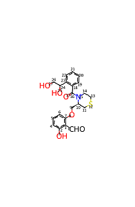 O=Cc1c(O)cccc1OC[C@@H]1CSCCN1C(=O)c1ccccc1[C@@H](O)CO